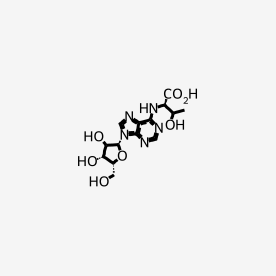 CC(O)[C@@H](Nc1ncnc2c1ncn2[C@@H]1O[C@H](CO)[C@H](O)C1O)C(=O)O